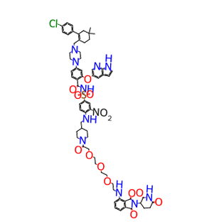 CC1(C)CCC(CN2CCN(c3ccc(C(=O)NS(=O)(=O)c4ccc(NCC5CCN(C(=O)COCCOCCOCCNc6cccc7c6C(=O)N(C6CCC(=O)NC6=O)C7=O)CC5)c([N+](=O)[O-])c4)c(Oc4cnc5[nH]ccc5c4)c3)CC2)=C(c2ccc(Cl)cc2)C1